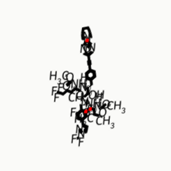 C=C(CCC(F)(F)F)[C@H](NC(=O)OC)C(=O)N[C@@H](Cc1ccc(C#Cc2cnc(N3CC4CCC(C3)N4C3COC3)nc2)cc1)[C@@H](O)CN(Cc1c(F)cc(-c2ccn(C(F)F)n2)cc1F)NC(=O)[C@@H](NC(=O)OC)C(=C)CC